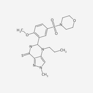 CCCN1c2cn(C)nc2C(=S)[N]C1c1cc(S(=O)(=O)N2CCOCC2)ccc1OC